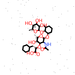 CC(=O)NC1C(O[C@@H](CC2CCCCC2)C(=O)O)[C@H](O)[C@H](C)O[C@H]1O[C@@H]1CCCC(C)[C@@H]1OC1O[C@@H](C)[C@H](O)C(O)[C@@H]1O